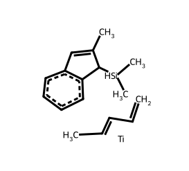 C=CC=CC.CC1=Cc2ccccc2C1[SiH](C)C.[Ti]